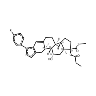 CCC(=O)O[C@]1(C(=O)SC)CC[C@H]2[C@@H]3CCC4=Cc5c(cnn5-c5ccc(F)cc5)C[C@]4(C)[C@H]3[C@@H](O)C[C@@]21C